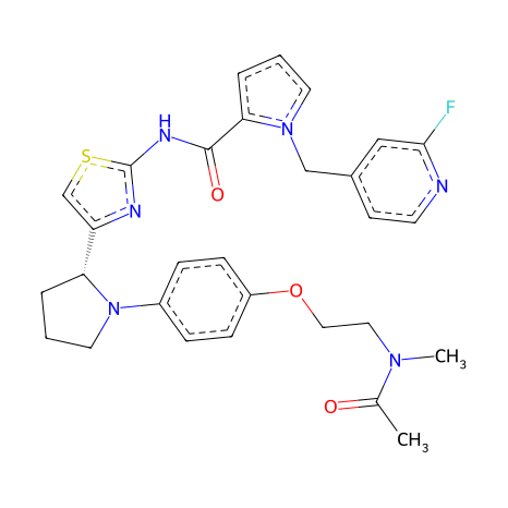 CC(=O)N(C)CCOc1ccc(N2CCC[C@@H]2c2csc(NC(=O)c3cccn3Cc3ccnc(F)c3)n2)cc1